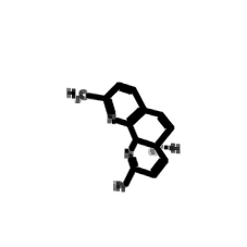 Cc1ccc2c(n1)C1N=C(C(C)C)C=C[C@@H]1C=C2